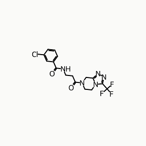 O=C(NCCC(=O)N1CCn2c(nnc2C(F)(F)F)C1)c1cccc(Cl)c1